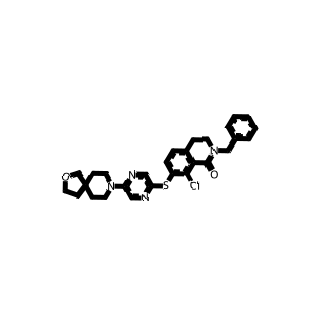 O=C1c2c(ccc(Sc3cnc(N4CCC5(CCOC5)CC4)cn3)c2Cl)CCN1Cc1ccccc1